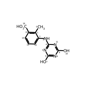 Cc1c(Nc2nc(O)nc(O)n2)cccc1C(=O)O